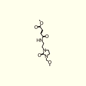 COCN1CCN(CCNC(=O)C=CC(=O)OC)C1=O